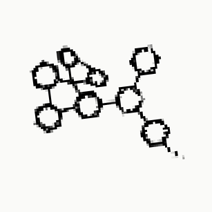 Cc1ccc(-c2nc(-c3ccncc3)cc(-c3ccc4c(c3)C3(c5ccccc5-c5ccccc5-4)c4ccccc4-c4ccccc43)n2)cc1